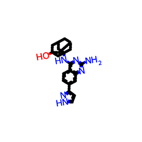 Nc1nc(NC23CC4CC(CC(O)(C4)C2)C3)c2ccc(-c3cc[nH]n3)cc2n1